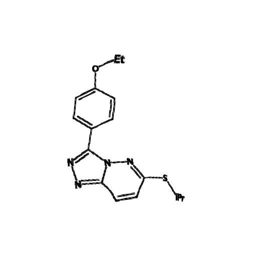 CCOc1ccc(-c2nnc3ccc(SC(C)C)nn23)cc1